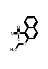 CCOc1ccc2ccccc2c1S(=O)(=O)Cl